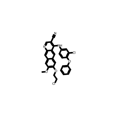 COc1cc2cc3ncc(C#N)c(Nc4ccc(Oc5ccccc5)c(Cl)c4)c3cc2cc1OCCCl